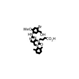 COc1cc(Br)c(CO)cc1Nc1ncc2c(n1)N(CCCC(=O)O)C(=O)N(c1c(C)cccc1C)C2